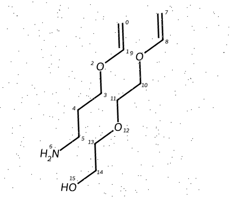 C=COCCCN.C=COCCOCCO